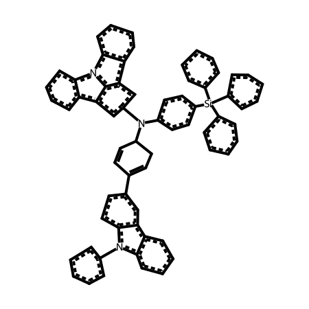 C1=CC(N(c2ccc([Si](c3ccccc3)(c3ccccc3)c3ccccc3)cc2)c2cc3c4ccccc4n4c5ccccc5c(c2)c34)CC=C1c1ccc2c(c1)c1ccccc1n2-c1ccccc1